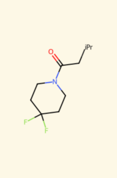 CC(C)CC(=O)N1CCC(F)(F)CC1